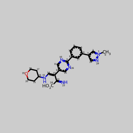 Cn1cc(-c2cccc(-c3ncc(/C(=C/NC4CCOCC4)C(=N)C(=O)O)cn3)c2)cn1